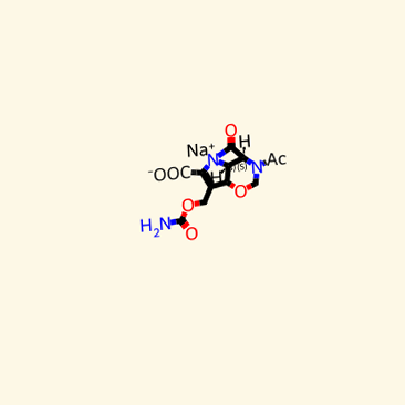 CC(=O)N1COC2C(COC(N)=O)=C(C(=O)[O-])N3C(=O)[C@@H]1[C@@H]23.[Na+]